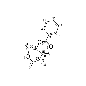 CC1O[C@@H](C)C(OC(=O)c2ccccc2)[C@@H](C)[C@@H]1C